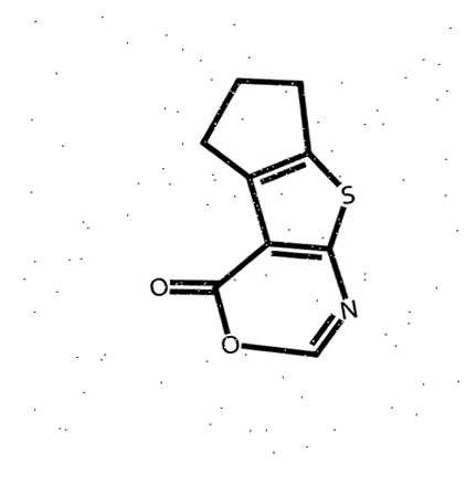 O=c1ocnc2sc3c(c12)CCC3